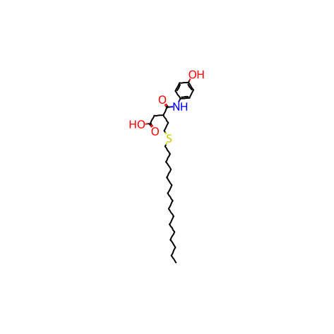 CCCCCCCCCCCCCCCCSCCC(CC(=O)O)C(=O)Nc1ccc(O)cc1